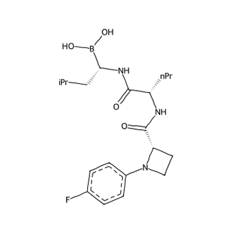 CCC[C@H](NC(=O)[C@@H]1CCN1c1ccc(F)cc1)C(=O)N[C@H](CC(C)C)B(O)O